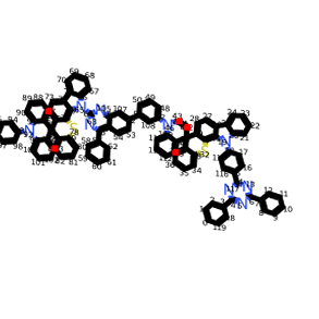 c1ccc(-c2nc(-c3ccccc3)nc(-c3ccc(-n4c5ccccc5c5ccc6c(c54)Sc4ccccc4C64c5ccccc5N(c5cccc(-c6ccc7c(-c8ccccc8)nc(-n8c9ccccc9c9ccc%10c(c98)Sc8ccccc8C%108c9ccccc9N(c9ccccc9)c9ccccc98)nc7c6)c5)c5ccccc54)cc3)n2)cc1